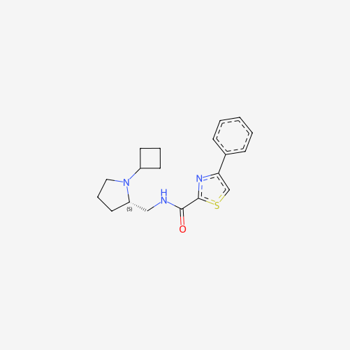 O=C(NC[C@@H]1CCCN1C1CCC1)c1nc(-c2ccccc2)cs1